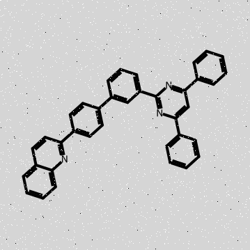 c1ccc(-c2cc(-c3ccccc3)nc(-c3cccc(-c4ccc(-c5ccc6ccccc6n5)cc4)c3)n2)cc1